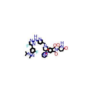 Cc1nc2c(F)cc(-c3nc(Nc4ccc(CN5CCC(CN6C7CC6CN(c6ccc8c(c6)C(=O)N(C6CCC(=O)NC6=O)C8=O)C7)CC5)cn4)ncc3F)cc2n1C(C)C